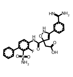 N=C(N)c1cccc(C2=CC(CC(=O)O)(C(=O)Nc3ccc(-c4ccccc4)c(S(N)(=O)=O)c3F)ON2)c1